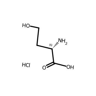 Cl.N[C@@H](CCO)C(=O)O